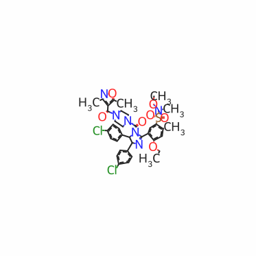 CCOc1cc(C)c(S(=O)(=O)N(C)OC)cc1C1=NC(c2ccc(Cl)cc2)C(c2ccc(Cl)cc2)N1C(=O)N1CCN(C(=O)c2c(C)noc2C)CC1